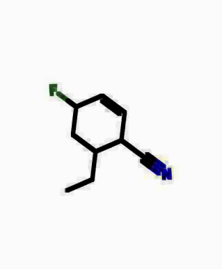 CCC1CC(F)C=CC1C#N